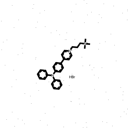 Br.C[N+](C)(C)CCC[n+]1ccc(-c2ccc(N(c3ccccc3)c3ccccc3)cc2)cc1